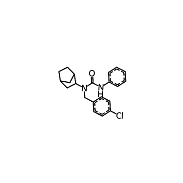 O=C(Nc1ccccc1)N(Cc1ccc(Cl)cc1)C1CC2CCC1C2